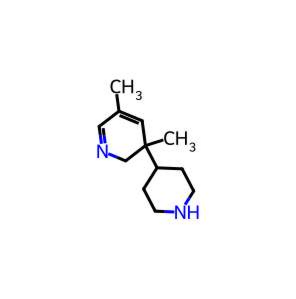 CC1=CC(C)(C2CCNCC2)CN=C1